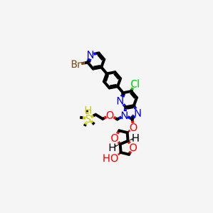 C[SH](C)(C)(C)CCOCn1c(O[C@@H]2CO[C@H]3[C@@H]2OC[C@H]3O)nc2cc(Cl)c(-c3ccc(-c4ccnc(Br)c4)cc3)nc21